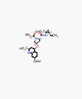 C=C[C@@H]1C[C@]1(NC(=O)[C@@H]1C[C@@H](Oc2cc(C(=O)O)nc3cc(OC)ccc23)CN1C(=O)OC(C)(C)C)C(=O)OCC